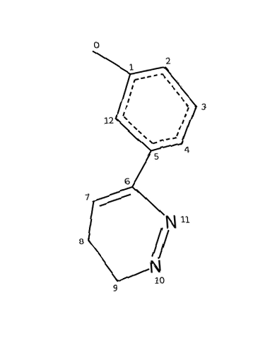 Cc1cccc(C2=CCCN=N2)c1